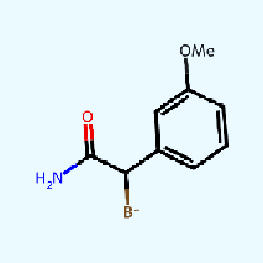 COc1cccc(C(Br)C(N)=O)c1